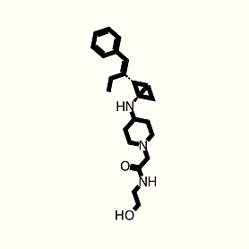 CC/C(=C\c1ccccc1)[C@@H]1C2C[C@@]21NC1CCN(CC(=O)NCCO)CC1